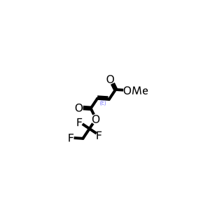 COC(=O)/C=C/C(=O)OC(F)(F)CF